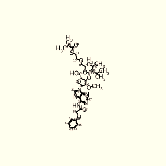 CO[C@H]1C(OP(OCCOCCSC(=O)C(C)C)N(C(C)C)C(C)C)[C@@H](CO)O[C@H]1n1cnc2c(NC(=O)COc3ccccc3)ncnc21